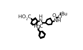 C[C@H](Nc1cc(C(=O)O)ccc1OCc1ccccc1)C1CCC(NC(=O)OC(C)(C)C)CC1